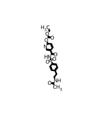 CCOC(=O)Oc1ccc(C(=O)NS(=O)(=O)c2ccc(CCNC(C)=O)cc2)cn1